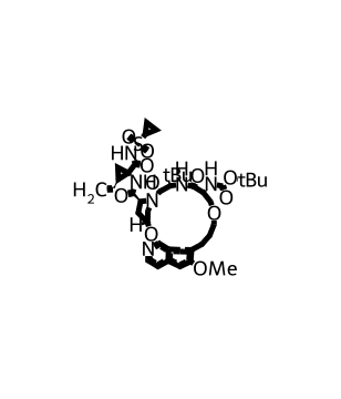 C=C[C@@H]1C[C@]1(NC(=O)[C@@H]1C[C@@H]2CN1C(=O)[C@H](C(C)(C)C)NC(=O)[C@@H](NC(=O)OC(C)(C)C)COCCCc1cc3c(nccc3cc1OC)O2)C(=O)NS(=O)(=O)C1CC1